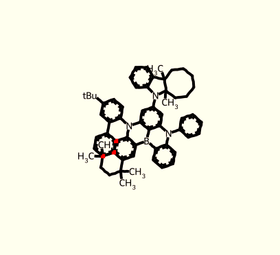 CC(C)(C)c1ccc(N2c3cc4c(cc3B3c5ccccc5N(c5ccccc5)c5cc(N6c7ccccc7C7(C)CCCCCCC67C)cc2c53)C(C)(C)CCC4(C)C)c(-c2ccccc2)c1